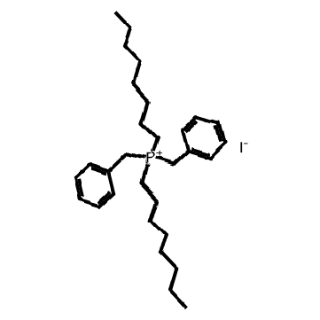 CCCCCCCC[P+](CCCCCCCC)(Cc1ccccc1)Cc1ccccc1.[I-]